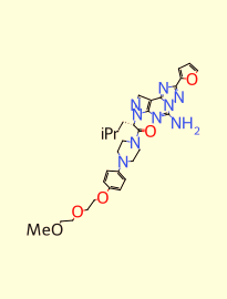 COCCOCCOc1ccc(N2CCN(C(=O)[C@H](CC(C)C)n3ncc4c3nc(N)n3nc(-c5ccco5)nc43)CC2)cc1